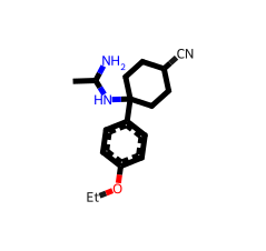 CCOc1ccc(C2(NC(C)N)CCC(C#N)CC2)cc1